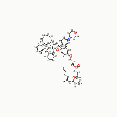 CCCCC(C)OCC(C)C(C)OC(=O)CCC(=O)OCCOc1ccc(C2(c3ccc(N4CCOCC4)cc3)C=Cc3c4c(c5ccccc5c3O2)-c2ccccc2C42CCCCCCC2)cc1